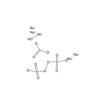 O=S(=O)([O-])OOS(=O)(=O)[O-].O=S([O-])[O-].OO.[Na+].[Na+].[Na+].[Na+]